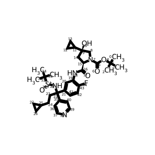 CC(C)(C)OC(=O)N1C[C@@](O)(C2CC2)C[C@@H]1C(=O)Nc1cc(C(CCC2CC2)(N[S@+]([O-])C(C)(C)C)c2ccncc2)ccc1F